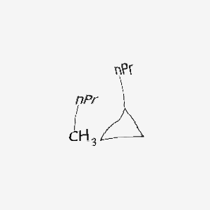 CCCC.CCCC1CC1